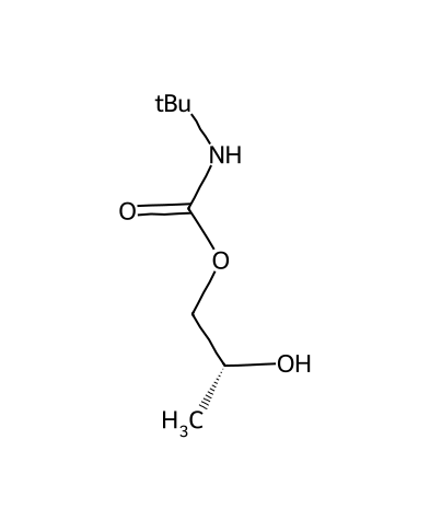 C[C@@H](O)COC(=O)NC(C)(C)C